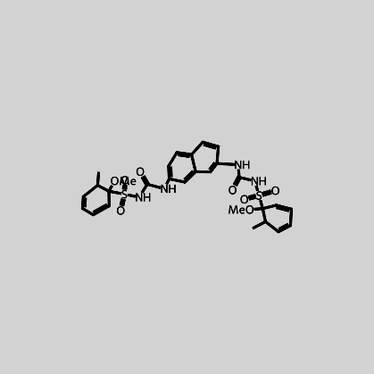 COC1(S(=O)(=O)NC(=O)Nc2ccc3ccc(NC(=O)NS(=O)(=O)C4(OC)C=CC=CC4C)cc3c2)C=CC=CC1C